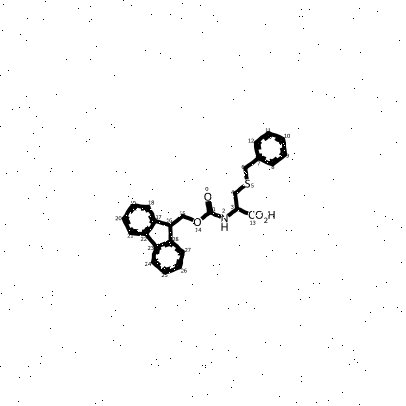 O=C(NC(CSCc1ccccc1)C(=O)O)OCC1c2ccccc2-c2ccccc21